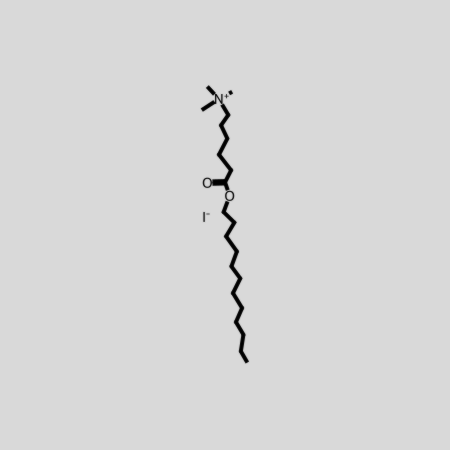 CCCCCCCCCCCCOC(=O)CCCCC[N+](C)(C)C.[I-]